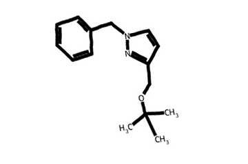 CC(C)(C)OCc1ccn(Cc2ccccc2)n1